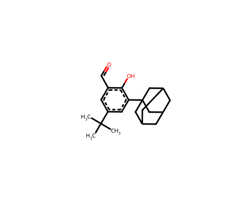 CC(C)(C)c1cc(C=O)c(O)c(C23CC4CC(CC(C4)C2)C3)c1